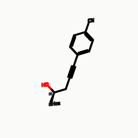 CCCCCC[C@@H](O)CC#Cc1ccc(C#N)cc1